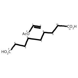 C=COC(C)=O.O=C(O)CCCCCCCC(=O)O